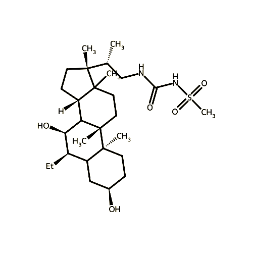 CC[C@@H]1C2C[C@H](O)CC[C@]2(C)[C@@]2(C)CCC3(C)[C@@H](CC[C@]3(C)[C@H](C)CNC(=O)NS(C)(=O)=O)C2[C@@H]1O